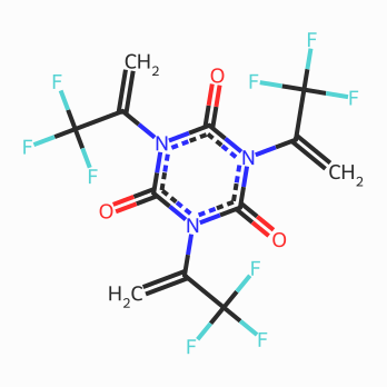 C=C(n1c(=O)n(C(=C)C(F)(F)F)c(=O)n(C(=C)C(F)(F)F)c1=O)C(F)(F)F